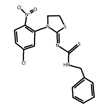 O=[N+]([O-])c1ccc(Cl)cc1N1CCSC1=NC(=S)NCc1ccccc1